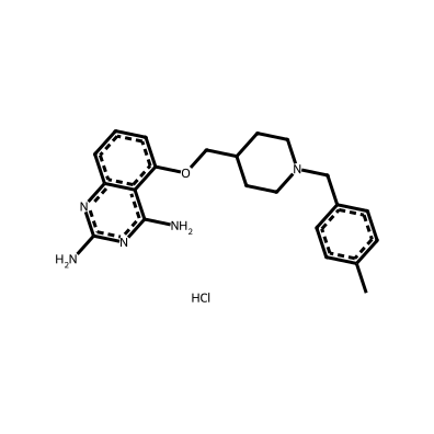 Cc1ccc(CN2CCC(COc3cccc4nc(N)nc(N)c34)CC2)cc1.Cl